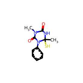 CN1C(=O)NC(C)(S)N(c2ccccc2)C1=O